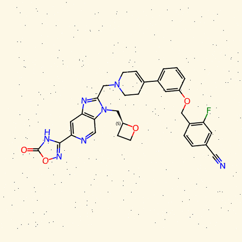 N#Cc1ccc(COc2cccc(C3=CCN(Cc4nc5cc(-c6noc(=O)[nH]6)ncc5n4C[C@@H]4CCO4)CC3)c2)c(F)c1